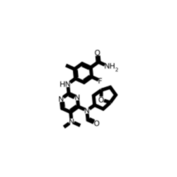 Cc1cc(C(N)=O)c(F)cc1Nc1ncc(N(C)C)c(N(C=O)C2CC3CCC(C2)O3)n1